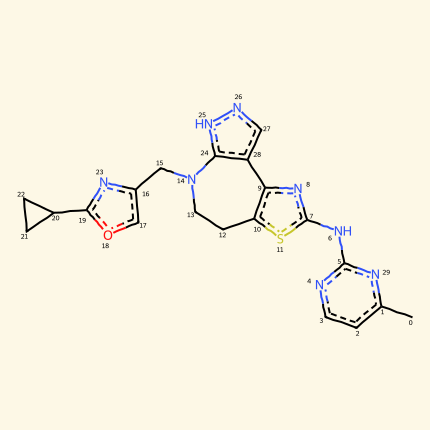 Cc1ccnc(Nc2nc3c(s2)CCN(Cc2coc(C4CC4)n2)c2[nH]ncc2-3)n1